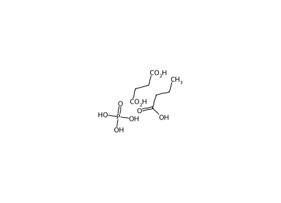 CCCC(=O)O.O=C(O)CCC(=O)O.O=P(O)(O)O